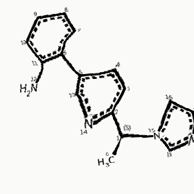 C[C@@H](c1ccc(-c2ccccc2N)cn1)n1ccnc1